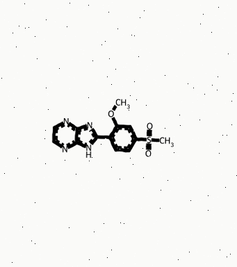 COc1cc(S(C)(=O)=O)ccc1-c1nc2nccnc2[nH]1